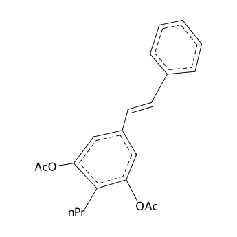 CCCc1c(OC(C)=O)cc(/C=C/c2ccccc2)cc1OC(C)=O